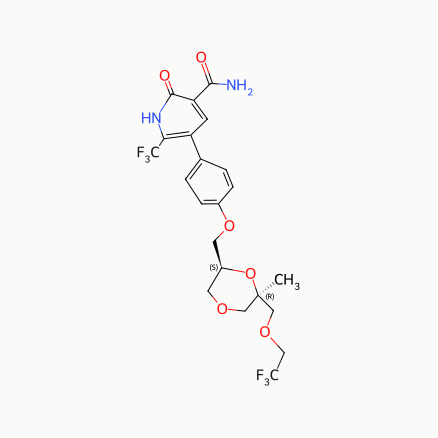 C[C@]1(COCC(F)(F)F)COC[C@@H](COc2ccc(-c3cc(C(N)=O)c(=O)[nH]c3C(F)(F)F)cc2)O1